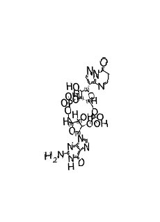 Nc1nc2c(ncn2[C@@H]2O[C@@H]3COP(=O)(O)O[C@@H]4C(O)[C@H](c5cnn6c5N=CCC6=O)O[C@@H]4COP(=O)(O)OC2[C@H]3O)c(=O)[nH]1